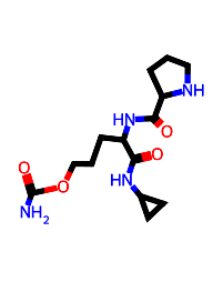 NC(=O)OCCCC(NC(=O)C1CCCN1)C(=O)NC1CC1